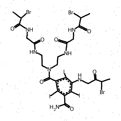 CC(Br)C(=O)CNc1c(I)c(C(N)=O)c(I)c(C(=O)N(CCNC(=O)CNC(=O)C(C)Br)CCNC(=O)CNC(=O)C(C)Br)c1I